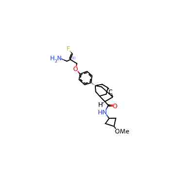 COC1CC(NC(=O)[C@H]2C3CC4CC2C[C@](c2ccc(OC/C(=C/F)CN)cc2)(C4)C3)C1